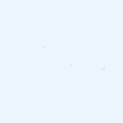 [CH2]CCCCCCC=C(C#N)c1ccccc1